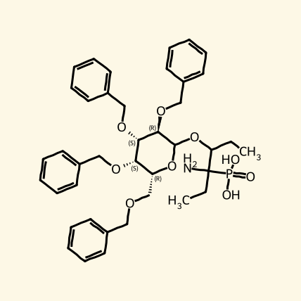 CCC(OC1O[C@H](COCc2ccccc2)[C@H](OCc2ccccc2)[C@H](OCc2ccccc2)[C@H]1OCc1ccccc1)C(N)(CC)P(=O)(O)O